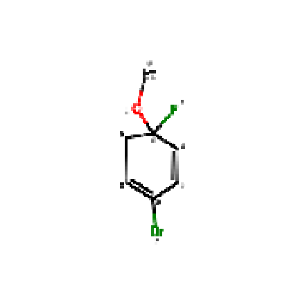 CCOC1(F)C=CC(Br)=CC1